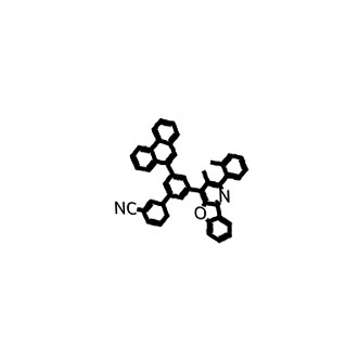 Cc1ccccc1-c1nc2c(oc3ccccc32)c(-c2cc(-c3cc4ccccc4c4ccccc34)cc(C3C=C(C#N)C=CC3)c2)c1C